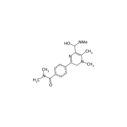 CNC(O)C1=C(C)N(C)CC(c2ccc(C(=O)N(C)C)cc2)=N1